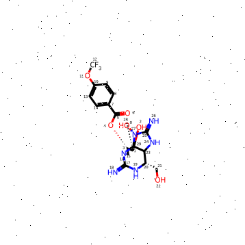 C[C@]1(O)[C@@H](OC(=O)c2ccc(OC(F)(F)F)cc2)CN2C(=N)N[C@@H](CO)C3NC(=N)N(O)C321